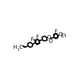 C/C=C/C1CCC(c2ccc(C3CCC(OC(=O)c4ccc(OCC)c(F)c4)CC3)c(F)c2F)CC1